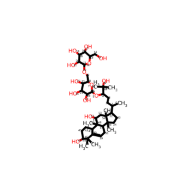 CC(CCC(OC1OC(COC2OC(CO)C(O)C(O)C2O)C(O)C(O)C1O)C(C)(C)O)C1CCC2(C)C3CC=C4C(CCC(O)C4(C)C)C3(C)C(O)CC12C